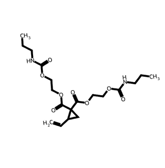 C=CC1CC1(C(=O)OCCOC(=O)NCCC)C(=O)OCCOC(=O)NCCC